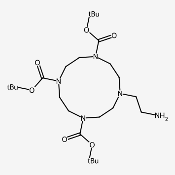 CC(C)(C)OC(=O)N1CCN(CCN)CCN(C(=O)OC(C)(C)C)CCN(C(=O)OC(C)(C)C)CC1